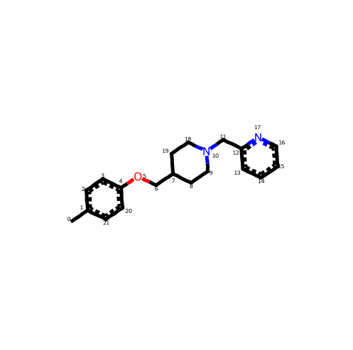 Cc1ccc(OCC2CCN(Cc3ccccn3)CC2)cc1